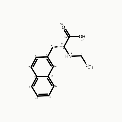 CCN[C@H](Cc1ccc2ccccc2c1)C(=O)O